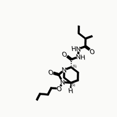 CCCCON1C(=O)N2C[C@@H]1CC[C@H]2C(=O)NNC(=O)C(C)CC